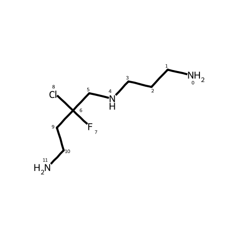 NCCCNCC(F)(Cl)CCN